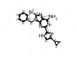 Nc1nc(-c2nc(C3CC3)c[nH]2)nc2c1nc(Br)n2Cc1ccccc1